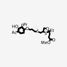 CCCc1c(OCCCSCC2COC(CC)(CCC(=O)OC)S2)ccc(C(C)=O)c1O